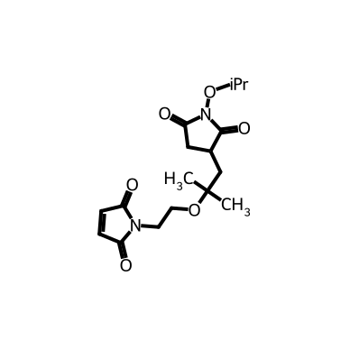 CC(C)ON1C(=O)CC(CC(C)(C)OCCN2C(=O)C=CC2=O)C1=O